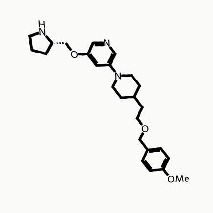 COc1ccc(COCCC2CCN(c3cncc(OC[C@@H]4CCCN4)c3)CC2)cc1